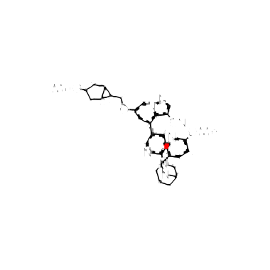 COc1ccc(CN2C3CC2CN(c2ccc(-c4cc(OCC5C6CC(OC)CC56)cn5ncc(C#N)c45)cn2)C3)cn1